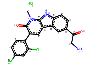 Cl.Cn1c(=O)c(-c2ccc(Cl)cc2Cl)cc2c3cc(C(=O)CN)ccc3[nH]c21